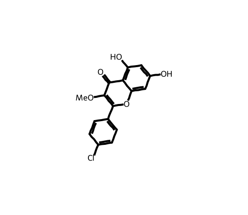 COc1c(-c2ccc(Cl)cc2)oc2cc(O)cc(O)c2c1=O